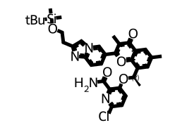 Cc1cc([C@@H](C)Oc2ccc(Cl)nc2C(N)=O)c2oc(-c3ccc4nc(CCO[Si](C)(C)C(C)(C)C)cn4c3)c(C)c(=O)c2c1